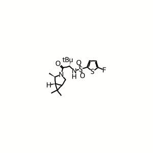 C[C@@H]1[C@@H]2C(CN1C(=O)[C@@H](NS(=O)(=O)c1ccc(F)s1)C(C)(C)C)C2(C)C